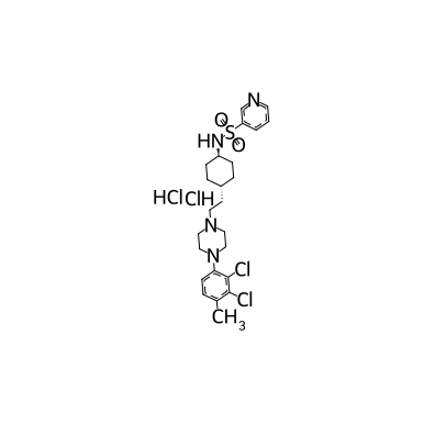 Cc1ccc(N2CCN(CC[C@H]3CC[C@H](NS(=O)(=O)c4cccnc4)CC3)CC2)c(Cl)c1Cl.Cl.Cl